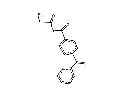 NCC(=O)OC(=O)c1ccc(C(=O)c2ccccc2)cc1